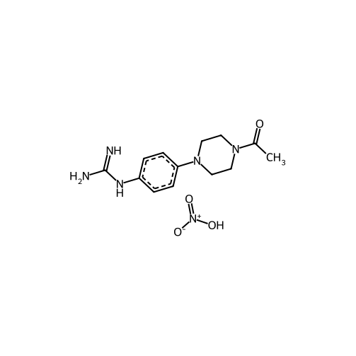 CC(=O)N1CCN(c2ccc(NC(=N)N)cc2)CC1.O=[N+]([O-])O